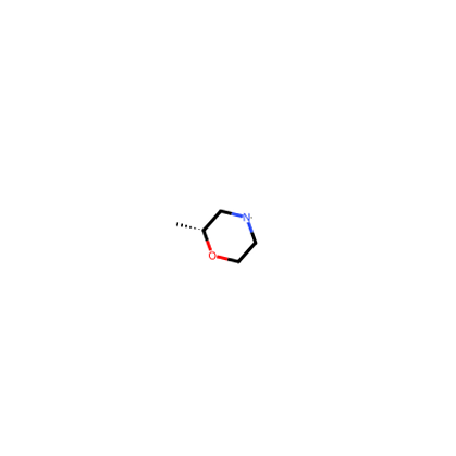 C[C@@H]1C[N]CCO1